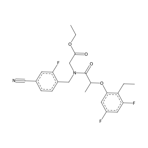 CCOC(=O)CN(Cc1ccc(C#N)cc1F)C(=O)C(C)Oc1cc(F)cc(F)c1CC